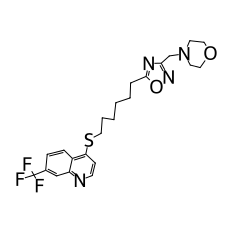 FC(F)(F)c1ccc2c(SCCCCCCc3nc(CN4CCOCC4)no3)ccnc2c1